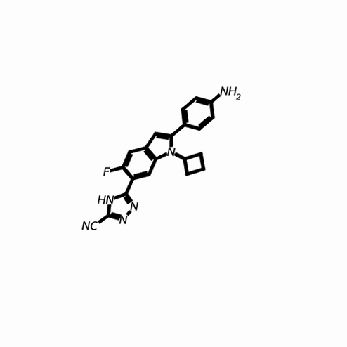 N#Cc1nnc(-c2cc3c(cc2F)cc(-c2ccc(N)cc2)n3C2CCC2)[nH]1